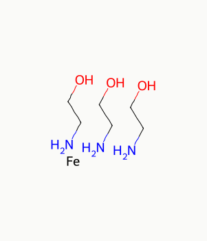 NCCO.NCCO.NCCO.[Fe]